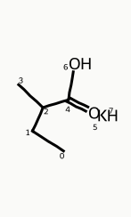 CCC(C)C(=O)O.[KH]